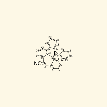 N#CC1=Cc2ccccc2[C@H](P(c2ccccc2)c2ccccc2)c2ccccc21